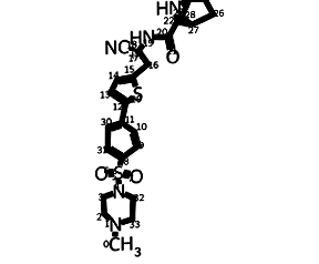 CN1CCN(S(=O)(=O)c2ccc(-c3ccc(C[C@@H](C#N)NC(=O)C4NC5CCC4C5)s3)cc2)CC1